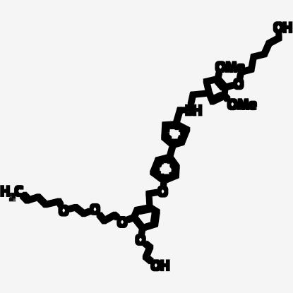 C=CCCCOCCOCCOC1C=C(COc2ccc(-c3ccc(CBCC4C=C(OC)C(OCCCCCCO)=C(OC)C4)cc3)cc2)C=CC1OCCO